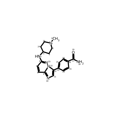 CN1CCC(Nc2ccc3ncc(-c4ccc(C(N)=O)cc4)n3n2)CC1